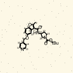 Cc1oc2ccc(OCc3ccncc3)cc2c1C(=O)NC1CCN(C(=O)OC(C)(C)C)C1